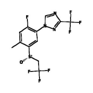 Cc1cc(F)c(-n2cnc(C(F)(F)F)n2)cc1[S@@+]([O-])CC(F)(F)F